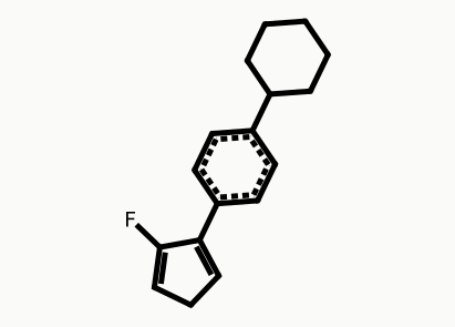 FC1=CCC=C1c1ccc(C2CCCCC2)cc1